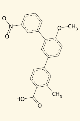 COc1ccc(-c2ccc(C(=O)O)c(C)c2)cc1-c1cccc([N+](=O)[O-])c1